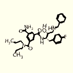 CCCN(CCC)C(=O)c1cc(C(N)=O)cc(C(=O)N[C@@H](Cc2ccc(F)cc2)[C@H](O)CNCc2ccccc2)c1